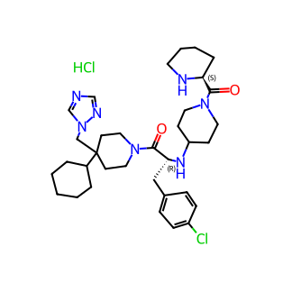 Cl.O=C([C@@H]1CCCCN1)N1CCC(N[C@H](Cc2ccc(Cl)cc2)C(=O)N2CCC(Cn3cncn3)(C3CCCCC3)CC2)CC1